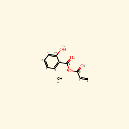 C=CC(=O)OC(=O)c1ccccc1O.[KH]